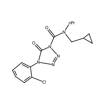 CCCN(CC1CC1)C(=O)n1nnn(-c2ccccc2Cl)c1=O